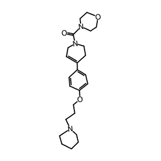 O=C(N1CC=C(c2ccc(OCCCN3CCCCC3)cc2)CC1)N1CCOCC1